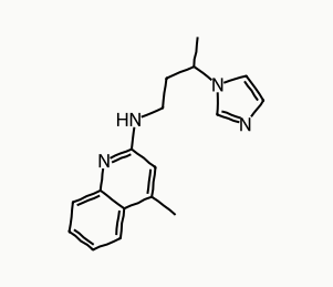 Cc1cc(NCCC(C)n2ccnc2)nc2ccccc12